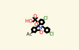 CC(=O)c1ccc2c(c1)C(=O)N(Cc1ccc(Cl)cc1)C2(OCC1(CO)COC1)c1ccc(Cl)cc1